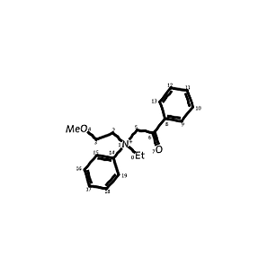 CC[N+](CCOC)(CC(=O)c1ccccc1)c1ccccc1